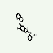 O[C@@H]1CCCCC1Nc1nc2cc(F)c(Cn3cnc4cccnc43)cc2s1